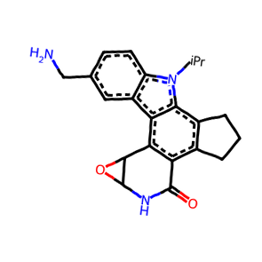 CC(C)n1c2ccc(CN)cc2c2c3c(c4c(c21)CCC4)C(=O)NC1OC31